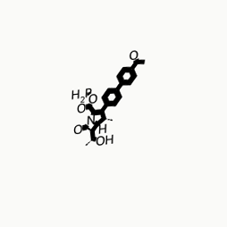 CC(=O)c1ccc(-c2ccc(C3=C(C(=O)OP)N4C(=O)[C@H]([C@@H](C)O)[C@H]4[C@H]3C)cc2)cc1